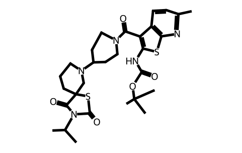 Cc1ccc2c(C(=O)N3CCC(N4CCCC5(C4)SC(=O)N(C(C)C)C5=O)CC3)c(NC(=O)OC(C)(C)C)sc2n1